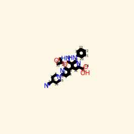 N#CC1CCN(c2ccc(-c3cc(C(=O)O)nc(Nc4ccccc4)c3C(=N)OC3COC3)cn2)CC1